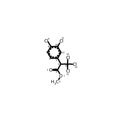 COC(=O)C(c1ccc(Cl)c(Cl)c1)C(Cl)(Cl)Cl